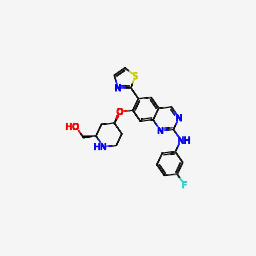 OC[C@H]1C[C@@H](Oc2cc3nc(Nc4cccc(F)c4)ncc3cc2-c2nccs2)CCN1